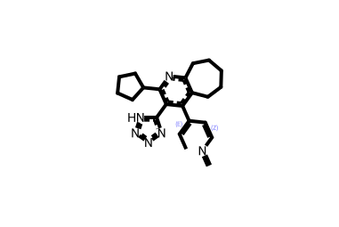 C=N/C=C\C(=C/C)c1c2c(nc(C3CCCC3)c1-c1nnn[nH]1)CCCCC2